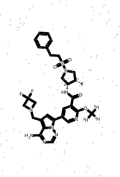 [2H]C([2H])([2H])Oc1ncc(-c2cc(CN3CC(F)(F)C3)c3c(N)ncnn23)cc1C(=O)N[C@@H]1CN(S(=O)(=O)CCc2ccccc2)C[C@@H]1F